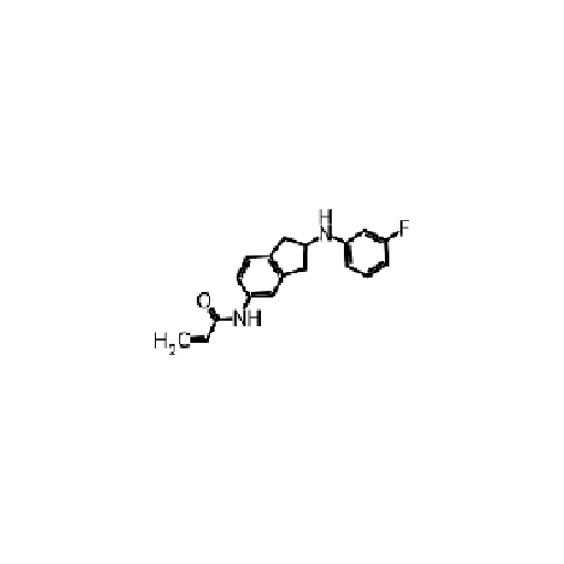 C=CC(=O)Nc1ccc2c(c1)CC(Nc1cccc(F)c1)C2